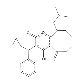 CC(C)CC1CCCCC(=O)c2c1oc(=O)c(C(c1ccccc1)C1CC1)c2O